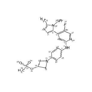 Cc1ncc(-c2nc(Nc3ccc(N4CC(OS(C)(=O)=O)C4)cc3)ncc2F)n1C(C)C